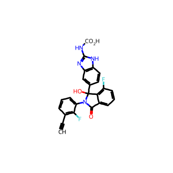 C#Cc1cccc(N2C(=O)c3cccc(F)c3C2(O)c2ccc3[nH]c(NC(=O)O)nc3c2)c1F